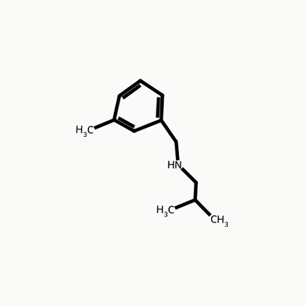 Cc1cccc(CNCC(C)C)c1